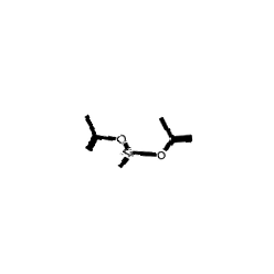 C=C(C)O[Si](C)OC(=C)C